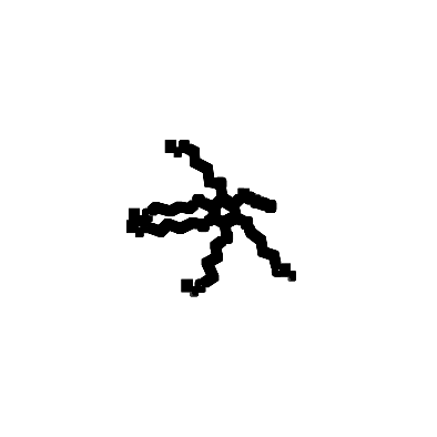 CCCCCOc1c(N=C=O)c(OCCCCC)c(OCCCCC)c(OCCCCC)c1OCCCCC